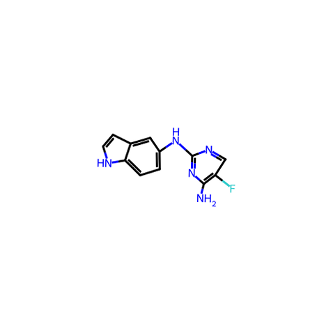 Nc1nc(Nc2ccc3[nH]ccc3c2)ncc1F